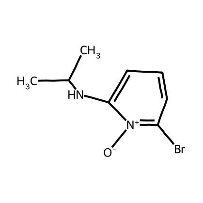 CC(C)Nc1cccc(Br)[n+]1[O-]